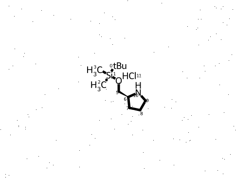 CC(C)(C)[Si](C)(C)OC[C@@H]1CCCN1.Cl